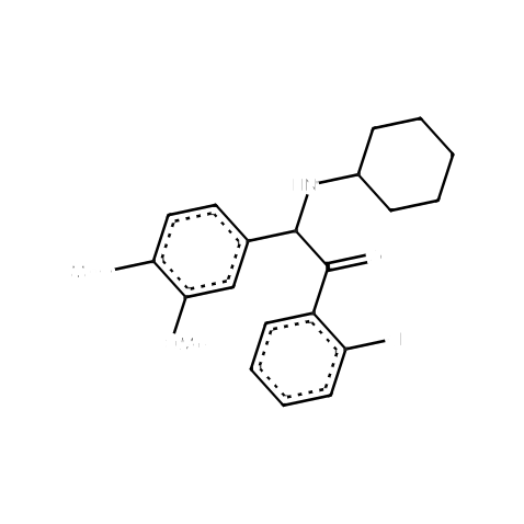 COc1ccc(C(NC2CCCCC2)C(=O)c2ccccc2Cl)cc1OC